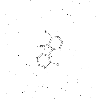 Clc1ncnc2[nH]c3c(Br)cccc3c12